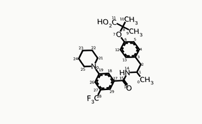 CC(Cc1ccc(OC(C)(C)C(=O)O)cc1)NC(=O)c1cc(N2CCCCC2)cc(C(F)(F)F)c1